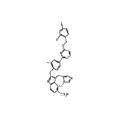 CCn1cncc1Cn1c(Cc2ccc(-c3cccc(OCc4ccc(C)cc4F)n3)cc2C)nc2ccc(C(=O)O)cc21